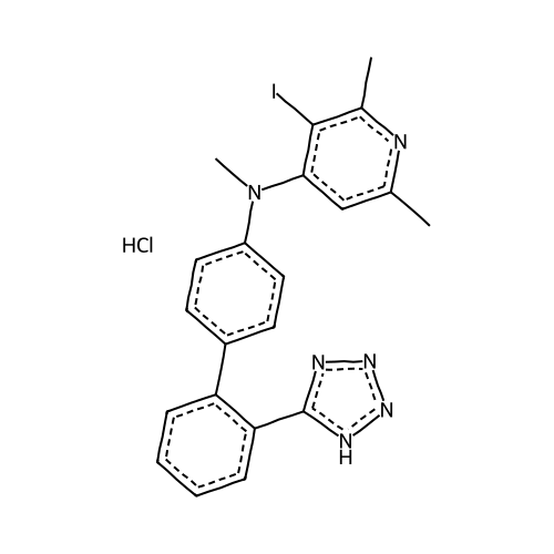 Cc1cc(N(C)c2ccc(-c3ccccc3-c3nnn[nH]3)cc2)c(I)c(C)n1.Cl